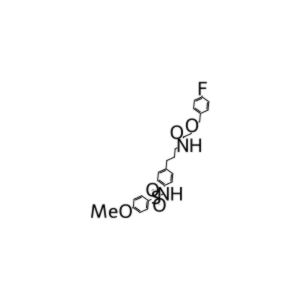 COc1ccc(S(=O)(=O)Nc2ccc(CCCNC(=O)COCc3ccc(F)cc3)cc2)cc1